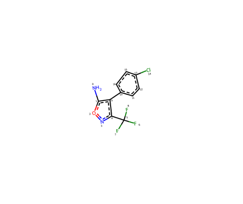 Nc1onc(C(F)(F)F)c1-c1ccc(Cl)cc1